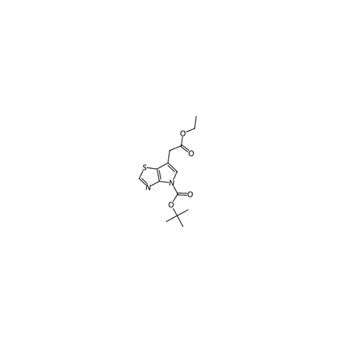 CCOC(=O)Cc1cn(C(=O)OC(C)(C)C)c2ncsc12